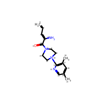 C=C/C=C(\N)C(=O)N1CCN(c2ncc(C)cc2C)CC1